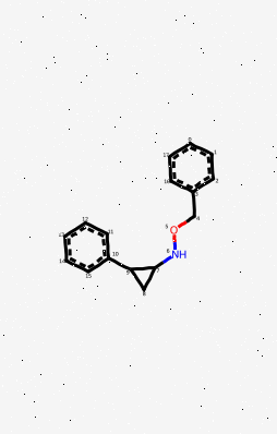 c1ccc(CONC2CC2c2ccccc2)cc1